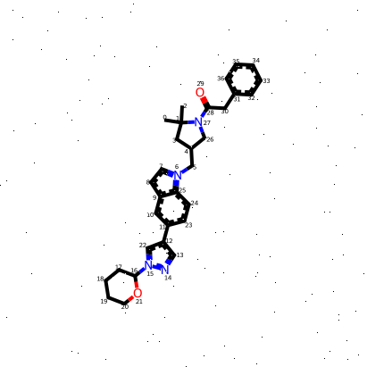 CC1(C)CC(Cn2ccc3cc(-c4cnn(C5CCCCO5)c4)ccc32)CN1C(=O)Cc1ccccc1